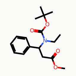 CCN(C(=O)OC(C)(C)C)C(CC(=O)OC)c1ccccc1